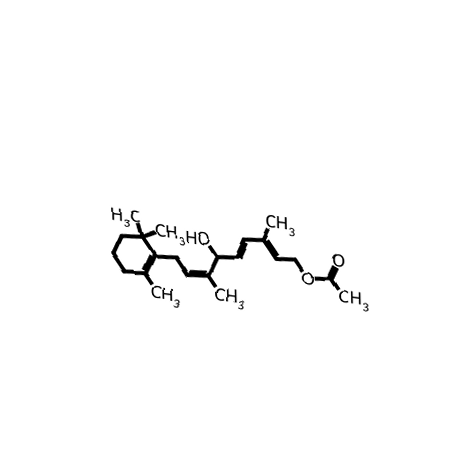 CC(=O)OCC=C(C)C=CC(O)C(C)=CCC1=C(C)CCCC1(C)C